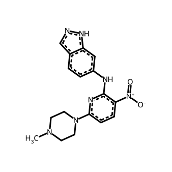 CN1CCN(c2ccc([N+](=O)[O-])c(Nc3ccc4cn[nH]c4c3)n2)CC1